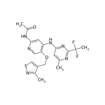 CC(=O)Nc1cc(Nc2cc(C)nc(C(C)(F)F)n2)c(OCc2csnc2C)cn1